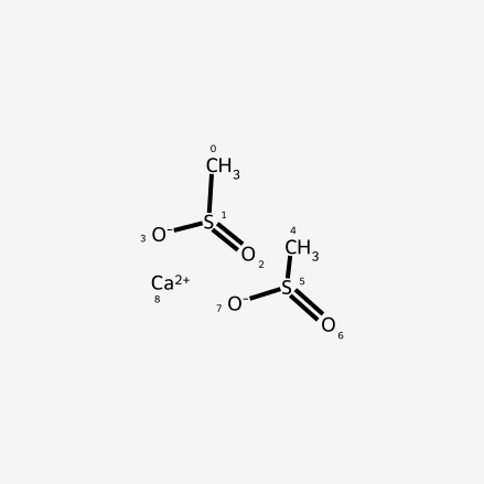 CS(=O)[O-].CS(=O)[O-].[Ca+2]